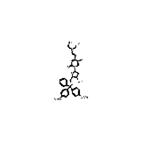 COc1ccc(C(OCC2OC(n3cc(I)c(/N=C/N(CC(C)C)CC(C)C)nc3=O)CC2O)(c2ccccc2)c2ccc(OC)cc2)cc1